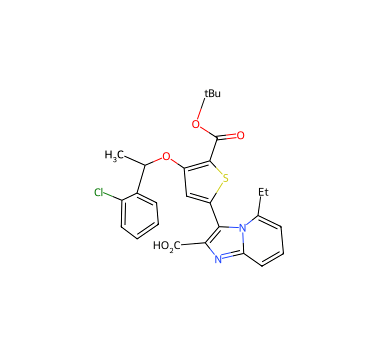 CCc1cccc2nc(C(=O)O)c(-c3cc(OC(C)c4ccccc4Cl)c(C(=O)OC(C)(C)C)s3)n12